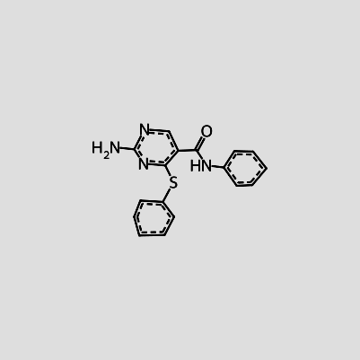 Nc1ncc(C(=O)Nc2ccccc2)c(Sc2ccccc2)n1